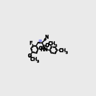 COc1ccc(/C=C(/C#N)S(=O)(=O)Nc2ccc(C)cc2C)c(F)c1